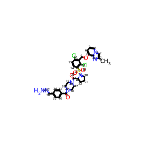 Cc1cn2cccc(OCc3c(Cl)ccc(S(=O)(=O)N4CCC[C@H]4C(=O)N4CCN(C(=O)c5ccc(C=NN)cc5)CC4)c3Cl)c2n1